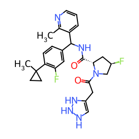 Cc1ncccc1C(NC(=O)[C@@H]1C[C@@H](F)CN1C(=O)CC1=CNNN1)c1ccc(C2(C)CC2)c(F)c1